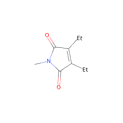 CCC1=C(CC)C(=O)N(C)C1=O